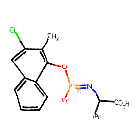 Cc1c(Cl)cc2ccccc2c1O/[P+]([O-])=N/C(C(=O)O)C(C)C